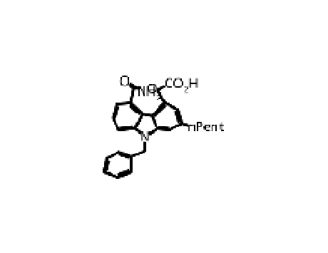 CCCCCc1cc(C(=O)C(=O)O)c2c3c(C(N)=O)cccc3n(Cc3ccccc3)c2c1